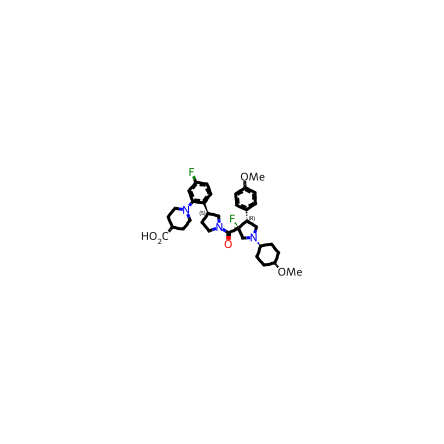 COc1ccc([C@@H]2CN([C@H]3CC[C@H](OC)CC3)C[C@@]2(F)C(=O)N2CC[C@@H](c3ccc(F)cc3N3CCC(C(=O)O)CC3)C2)cc1